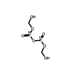 O=[PH](OCO)O[PH](=O)OCO